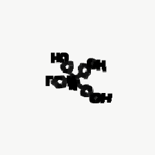 Oc1ccc(-c2nn(-c3ccc(F)cc3)c(-c3ccc(O)cc3)c2-c2ccc(O)cc2)cc1